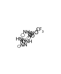 N[C@H]1CC[C@H](Nc2nc(NC3CCN(OC(=O)Nc4cccc(C(F)(F)F)c4)CC3)c3ncn(C4CCCC4)c3n2)CC1